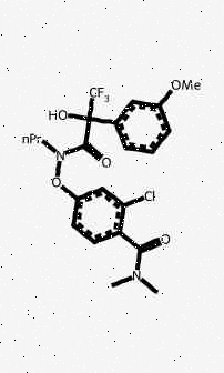 CCCN(Oc1ccc(C(=O)N(C)C)c(Cl)c1)C(=O)C(O)(c1cccc(OC)c1)C(F)(F)F